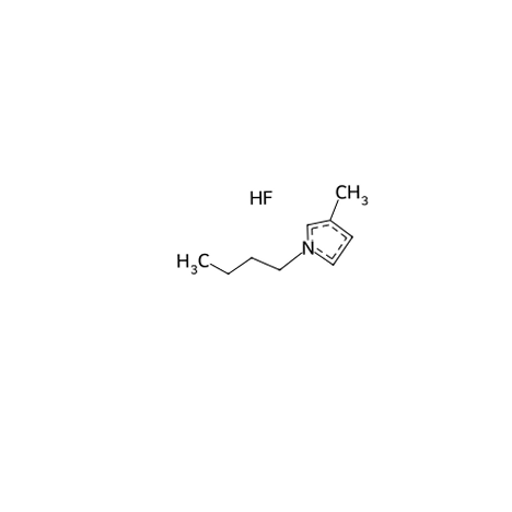 CCCCn1ccc(C)c1.F